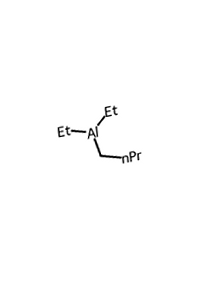 CCC[CH2][Al]([CH2]C)[CH2]C